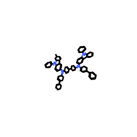 CC1C=CC2=C(C1)N(c1ccccc1)C1C=CC(N(C3C=CC(c4ccc(N(C5=CC=C(c6ccccc6)CC5)c5ccc6c(c5)c5ccccc5n6C5=CC=CCC5)cc4)=CC3)C3CC=C(C4=CCCCC4)CC3)=CC21